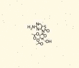 CC(=O)OC1C(OC(C)=O)[C@@H](CO)O[C@H]1n1c(=O)sc2cnc(N)nc21